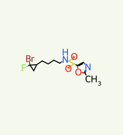 Cc1ncc(S(=O)(=O)NCCCCC2CC2(F)Br)o1